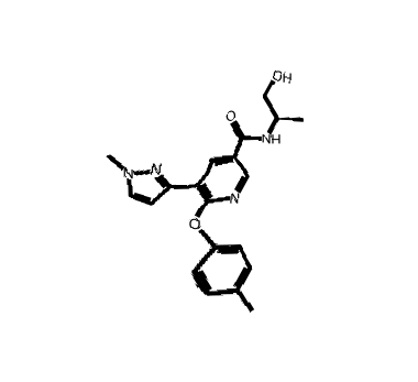 Cc1ccc(Oc2ncc(C(=O)N[C@H](C)CO)cc2-c2ccn(C)n2)cc1